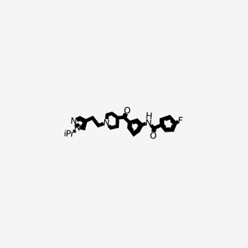 CC(C)n1cc(CCN2CCC(C(=O)c3cccc(NC(=O)c4ccc(F)cc4)c3)CC2)cn1